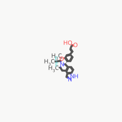 COc1cc(/C=C/C(=O)O)ccc1[C@@H]1c2ccc3[nH]ncc3c2C[C@@H](C)N1CC(C)(F)F